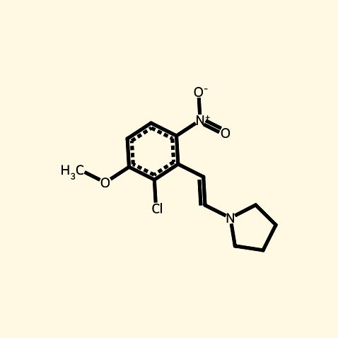 COc1ccc([N+](=O)[O-])c(C=CN2CCCC2)c1Cl